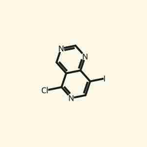 Clc1ncc(I)c2ncncc12